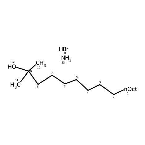 Br.CCCCCCCCCCCCCCCC(C)(C)O.N